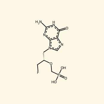 Nc1nc2c(ncn2C[C@@H](CF)OCP(=O)(O)O)c(=O)[nH]1